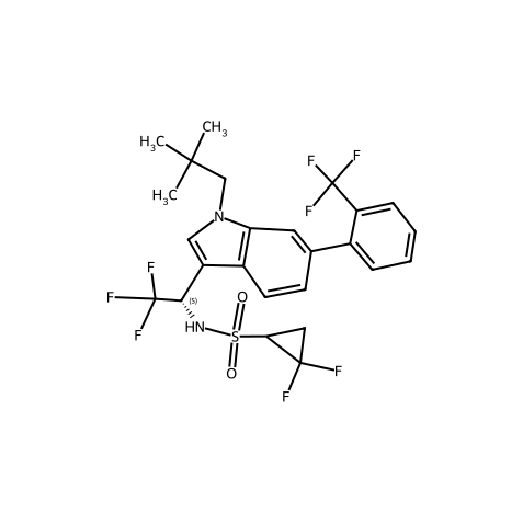 CC(C)(C)Cn1cc([C@H](NS(=O)(=O)C2CC2(F)F)C(F)(F)F)c2ccc(-c3ccccc3C(F)(F)F)cc21